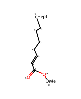 CCCCCCCCCCCC=CC(=O)OOC